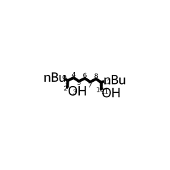 CCCCC(CO)CCCCCC(CO)CCCC